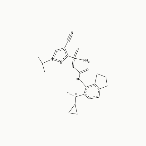 CC(C)n1cc(C#N)c(S(N)(=O)=NC(=O)Nc2c([C@@H](C)C3CC3)ccc3c2CCC3)n1